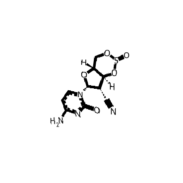 N#C[C@H]1[C@@H]2OS(=O)OC[C@H]2O[C@H]1n1ccc(N)nc1=O